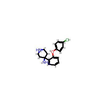 NC1(c2ccccc2Oc2ccc(Cl)cc2)CCNCC1